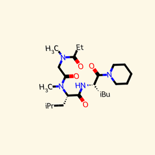 CCC(=O)N(C)CC(=O)N(C)[C@@H](CC(C)C)C(=O)N[C@H](C(=O)N1CCCCC1)[C@@H](C)CC